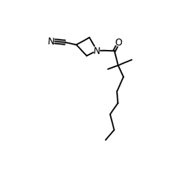 CCCCCCC(C)(C)C(=O)N1CC(C#N)C1